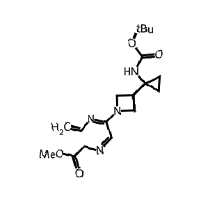 C=C/N=C(\C=N/CC(=O)OC)N1CC(C2(NC(=O)OC(C)(C)C)CC2)C1